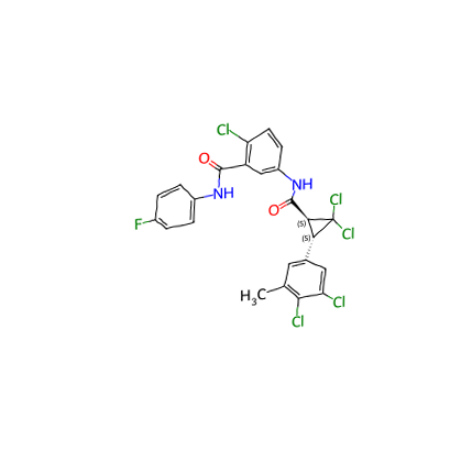 Cc1cc([C@@H]2[C@@H](C(=O)Nc3ccc(Cl)c(C(=O)Nc4ccc(F)cc4)c3)C2(Cl)Cl)cc(Cl)c1Cl